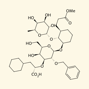 COC(=O)CC[C@H]1CCC[C@@H](O[C@@H]2O[C@H](CO)[C@H](O)[C@H](O[C@@H](CC3CCCCC3)C(=O)O)[C@H]2OCc2ccccc2)[C@@H]1O[C@@H]1O[C@@H](C)[C@@H](O)[C@@H](O)[C@@H]1O